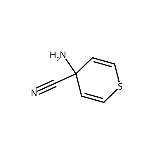 N#CC1(N)C=CSC=C1